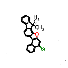 CC1(C)c2ccccc2-c2ccc3c(oc4cc(Br)c5ccccc5c43)c21